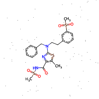 Cc1sc(N(CCc2cccc(S(C)(=O)=O)c2)Cc2ccccc2)nc1C(=O)NS(C)(=O)=O